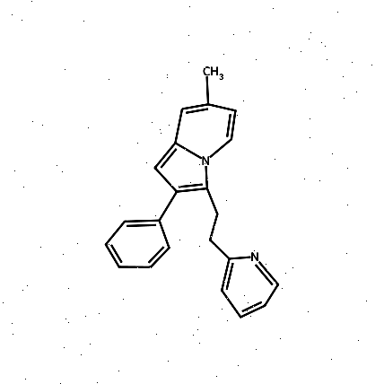 Cc1ccn2c(CCc3ccccn3)c(-c3ccccc3)cc2c1